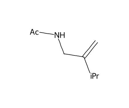 C=C(CNC(C)=O)C(C)C